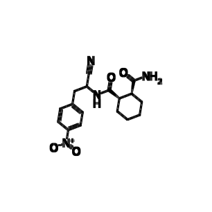 N#CC(Cc1ccc([N+](=O)[O-])cc1)NC(=O)[C@@H]1CCCC[C@@H]1C(N)=O